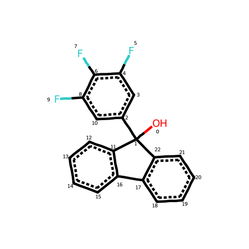 OC1(c2cc(F)c(F)c(F)c2)c2ccccc2-c2ccccc21